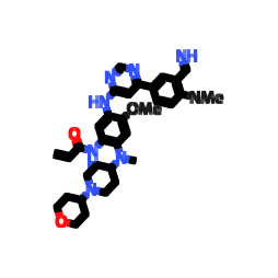 C=CC(=O)Nc1cc(Nc2cc(-c3ccc(NC)c(C=N)c3)ncn2)c(OC)cc1N(C)C1CCN(C2CCOCC2)CC1